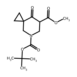 COC(=O)C1CN(C(=O)OC(C)(C)C)CC2(CC2)C1=O